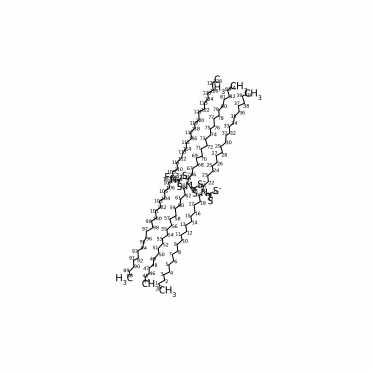 CCCCCCCCCCCCCCCCCCCCN(CCCCCCCCCCCCCCCCCCCC)C(=S)[S-].CCCCCCCCCCCCCCCCCCCCN(CCCCCCCCCCCCCCCCCCCC)C(=S)[S-].CCCCCCCCCCCCCCCCCCCCN(CCCCCCCCCCCCCCCCCCCC)C(=S)[S-].[Fe+3]